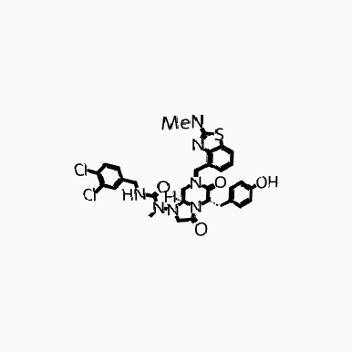 CNc1nc2c(CN3C[C@H]4N(C(=O)CN4N(C)C(=O)NCc4ccc(Cl)c(Cl)c4)[C@@H](Cc4ccc(O)cc4)C3=O)cccc2s1